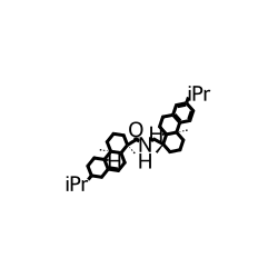 CC(C)c1ccc2c(c1)CC[C@H]1[C@@](C)(CNC(=O)[C@]3(C)CCC[C@@]4(C)C3CC=C3CC(C(C)C)CC[C@@H]34)CCC[C@]21C